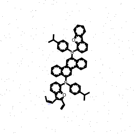 C=Cc1oc2c(N(c3ccc(C(C)C)cc3)c3cc4c5ccccc5c(N(c5ccc(C(C)C)cc5)c5cccc6c5oc5ccccc56)cc4c4ccccc34)cccc2c1/C=C\C